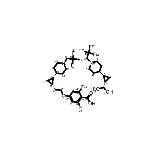 CC(O)[C@H]1C[C@@H]1C1CCN(CC(F)(F)F)CC1.O=C(O)c1c(F)cc(OCC[C@@H]2C[C@@H]2C2CCN(CC(F)(F)F)CC2)cc1F